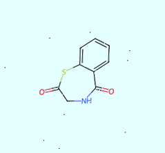 O=C1CNC(=O)c2ccccc2S1